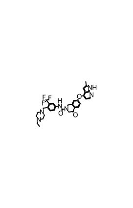 CCN1CCN(Cc2ccc(NC(=O)N3CC(=O)c4ccc(Oc5ccnc6[nH]c(C)cc56)cc4C3)cc2C(F)(F)F)CC1